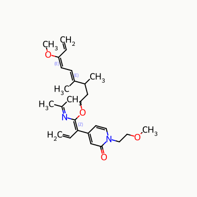 C=C/C(=C(\N=C(C)C)OCCC(C)/C(C)=C/C=C(\C=C)OC)c1ccn(CCOC)c(=O)c1